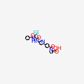 O=C(Nc1ccc(-c2ccc(C(=O)N3CCC[C@@H]3C(=O)O)cc2)nc1)c1nc(-c2ccccc2)oc1C(F)(F)F